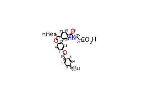 CCCCCCC(Oc1ccc(OCC2=CCC(C(C)(C)C)C=C2)cc1)c1ccc(C(=O)NCCC(=O)O)cc1